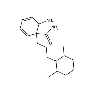 CC1CCCC(C)N1CCCC1(C(N)=O)C=CC=CC1N